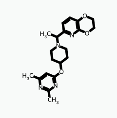 Cc1cc(OC2CCN(C(C)c3ccc4c(n3)OCCO4)CC2)nc(C)n1